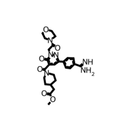 COC(=O)CC1CCN(C(=O)c2cc(-c3ccc(C(=N)N)cc3)nn(CC(=O)N3CCOCC3)c2=O)CC1